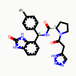 CC(C)c1ccc([C@@H](NC(=O)[C@@H]2CCCN2C(=O)Cc2cnn[nH]2)c2cccc3[nH]c(=O)[nH]c23)cc1